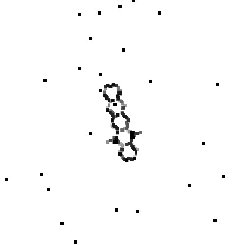 CB1c2ccccc2B(C)c2cc3cc4ccccc4cc3cc21